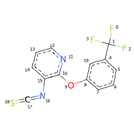 FC(F)(F)c1cccc(Oc2ncccc2N=C=S)c1